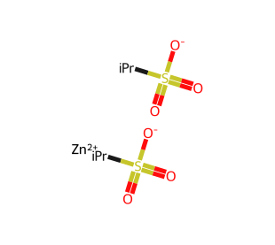 CC(C)S(=O)(=O)[O-].CC(C)S(=O)(=O)[O-].[Zn+2]